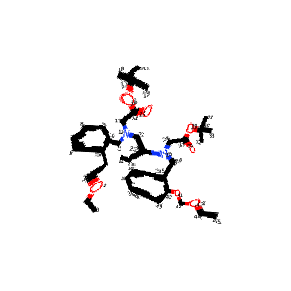 CCOCCc1ccccc1CN(CC(=O)OC(C)(C)C)CC(CC)N(CC(=O)OC(C)(C)C)Cc1ccccc1OCOCC